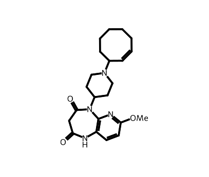 COc1ccc2c(n1)N(C1CCN(C3/C=C\CCCCC3)CC1)C(=O)CC(=O)N2